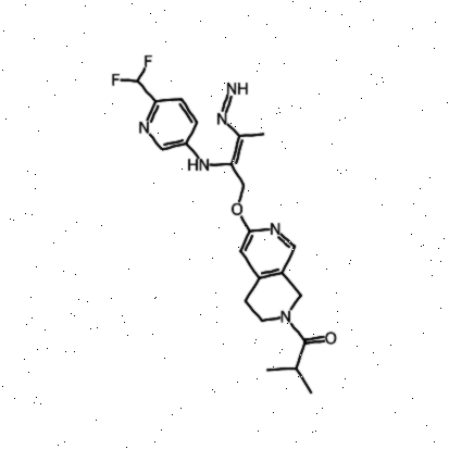 C/C(N=N)=C(\COc1cc2c(cn1)CN(C(=O)C(C)C)CC2)Nc1ccc(C(F)F)nc1